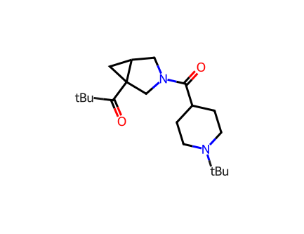 CC(C)(C)C(=O)C12CC1CN(C(=O)C1CCN(C(C)(C)C)CC1)C2